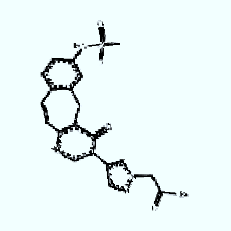 CC(C)(C)C(=O)Cn1cc(-c2c[nH]c3c(c2=O)Cc2cc(NS(C)(=O)=O)ccc2C=C3)cn1